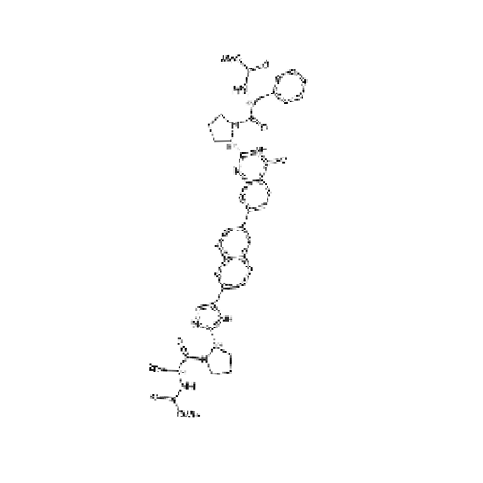 COC(=O)N[C@H](C(=O)N1CCC[C@H]1c1ncc(-c2ccc3cc(-c4ccc5c(=O)[nH]c([C@@H]6CCCN6C(=O)[C@H](NC(=O)OC)c6ccccc6)nc5c4)ccc3c2)[nH]1)C(C)C